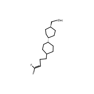 CCCCCCCCCCC[C@H]1CC[C@H](C2CCC(CCC=C(F)F)CC2)CC1